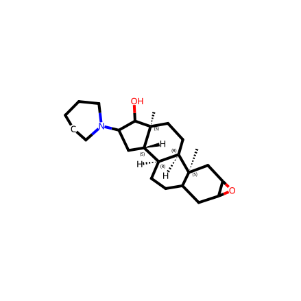 C[C@]12CC3OC3CC1CC[C@@H]1[C@H]2CC[C@]2(C)C(O)C(N3CCCCC3)C[C@@H]12